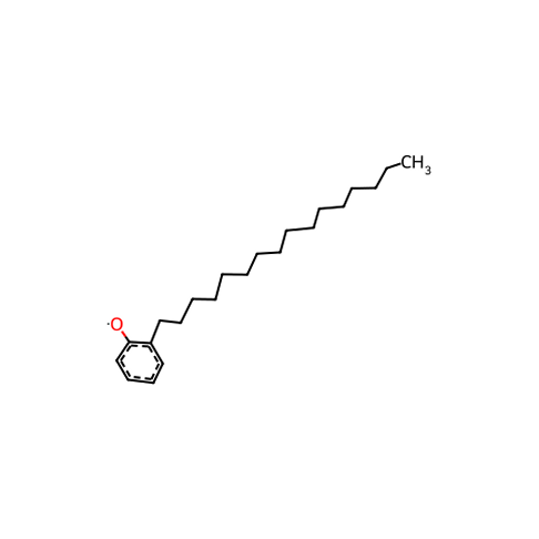 CCCCCCCCCCCCCCCCc1ccccc1[O]